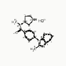 Cc1nc2ccccc2n1-c1ccc(C(=O)N(C)[C@H]2CCNC2)cc1.Cl